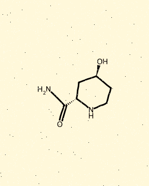 NC(=O)[C@@H]1C[C@@H](O)CCN1